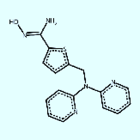 N/C(=N\O)c1ccc(CN(c2ccccn2)c2ccccn2)s1